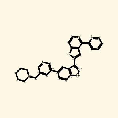 c1ccc(-c2nccc3[nH]c(-c4n[nH]c5ccc(-c6cncc(CN7CCCCC7)c6)cc45)cc23)nc1